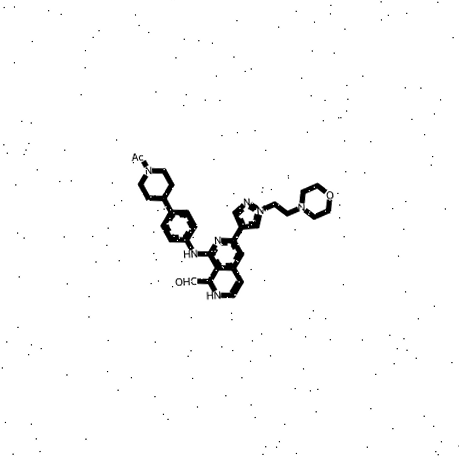 CC(=O)N1CCC(c2ccc(Nc3nc(-c4cnn(CCN5CCOCC5)c4)cc4c3C(C=O)NC=C4)cc2)CC1